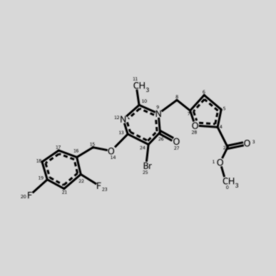 COC(=O)c1ccc(Cn2c(C)nc(OCc3ccc(F)cc3F)c(Br)c2=O)o1